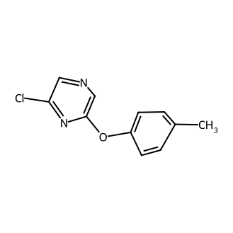 Cc1ccc(Oc2cncc(Cl)n2)cc1